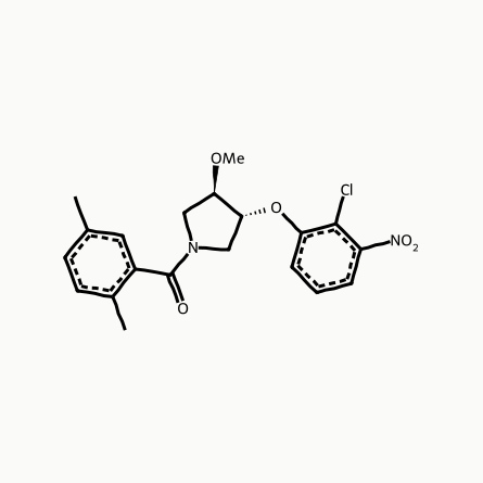 CO[C@@H]1CN(C(=O)c2cc(C)ccc2C)C[C@H]1Oc1cccc([N+](=O)[O-])c1Cl